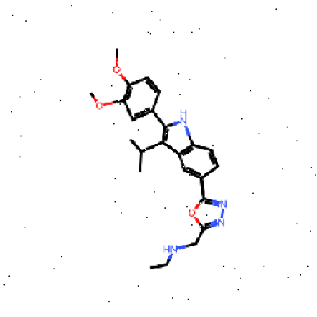 CCNCc1nnc(-c2ccc3[nH]c(-c4ccc(OC)c(OC)c4)c(C(C)C)c3c2)o1